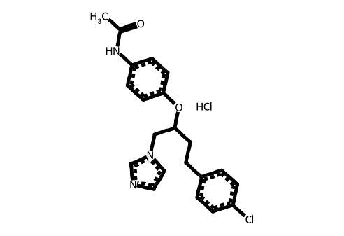 CC(=O)Nc1ccc(OC(CCc2ccc(Cl)cc2)Cn2ccnc2)cc1.Cl